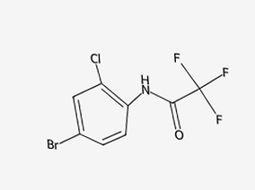 O=C(Nc1ccc(Br)cc1Cl)C(F)(F)F